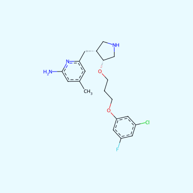 Cc1cc(N)nc(C[C@@H]2CNC[C@@H]2OCCCOc2cc(F)cc(Cl)c2)c1